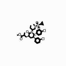 CCC(CN(C)S(=O)(=O)C1CC1)N1C(=O)[C@H](CC(C)C(=O)OC)C[C@H](c2cccc(Cl)c2)[C@H]1c1ccc(Cl)cc1